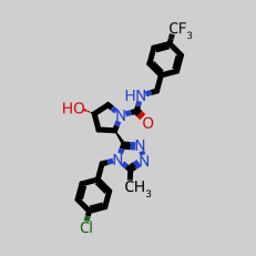 Cc1nnc([C@H]2C[C@H](O)CN2C(=O)NCc2ccc(C(F)(F)F)cc2)n1Cc1ccc(Cl)cc1